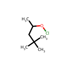 CC(CC(C)(C)C)OCl